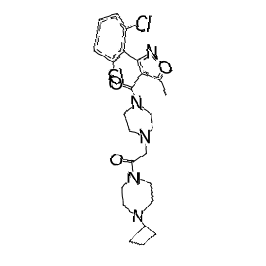 Cc1onc(-c2c(Cl)cccc2Cl)c1C(=O)N1CCN(CC(=O)N2CCN(C3CCC3)CC2)CC1